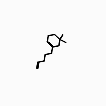 C=CCC[CH]C1=CCCC(C)(C)C1